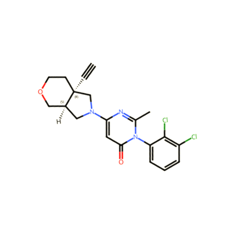 C#C[C@@]12CCOC[C@@H]1CN(c1cc(=O)n(-c3cccc(Cl)c3Cl)c(C)n1)C2